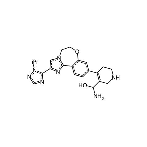 CC(C)n1ncnc1-c1cn2c(n1)-c1ccc(C3=C(C(N)O)CNCC3)cc1OCC2